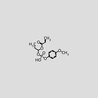 C=CC(=O)OC(CC)OP(=O)(O)Oc1ccc(OC)cc1